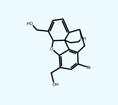 OCC1=CC=C2C3Cc4c(Br)cc(CO)c5c4C2(CCN3)C1O5